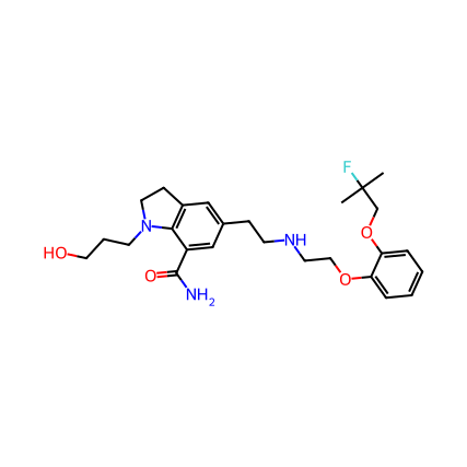 CC(C)(F)COc1ccccc1OCCNCCc1cc2c(c(C(N)=O)c1)N(CCCO)CC2